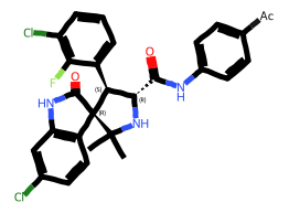 CC(=O)c1ccc(NC(=O)[C@@H]2NC(C)(C)[C@@]3(C(=O)Nc4cc(Cl)ccc43)[C@H]2c2cccc(Cl)c2F)cc1